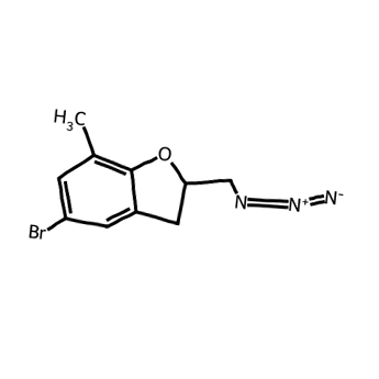 Cc1cc(Br)cc2c1OC(CN=[N+]=[N-])C2